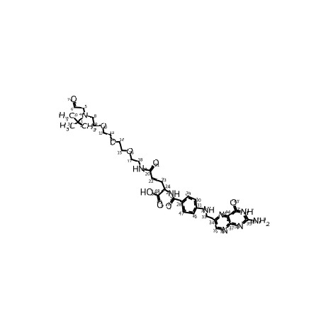 CC(C)(C)N(CC=O)CCOCCOCCOCCNC(=O)CCC(NC(=O)c1ccc(NCc2cnc3nc(N)[nH]c(=O)c3n2)cc1)C(=O)O